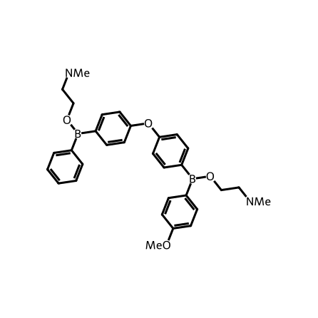 CNCCOB(c1ccccc1)c1ccc(Oc2ccc(B(OCCNC)c3ccc(OC)cc3)cc2)cc1